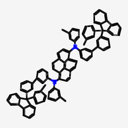 Cc1cccc(N(c2cccc(-c3cccc(C4(c5cccc(C)c5)c5ccccc5-c5ccccc54)c3)c2)c2ccc3ccc4c(N(c5cccc(C)c5)c5cccc(-c6cccc(C7(c8cccc(C)c8)c8ccccc8-c8ccccc87)c6)c5)ccc5ccc2c3c54)c1